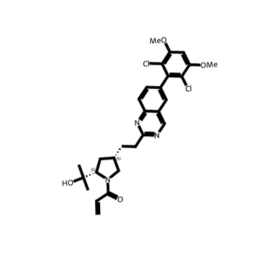 C=CC(=O)N1C[C@@H](CCc2ncc3cc(-c4c(Cl)c(OC)cc(OC)c4Cl)ccc3n2)C[C@H]1C(C)(C)O